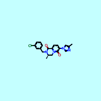 Cc1cn(-c2ccc3n(c2=O)C[C@@H](C)N(Cc2cccc(Cl)c2)C3=O)cn1